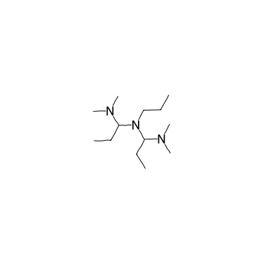 CCCN(C(CC)N(C)C)C(CC)N(C)C